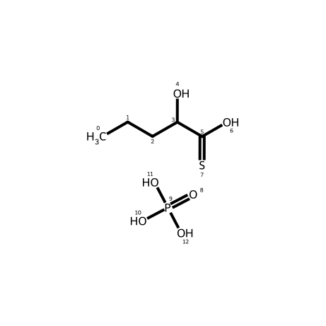 CCCC(O)C(O)=S.O=P(O)(O)O